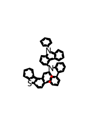 c1ccc(-c2ccccc2N(c2ccc3ccc4sc5ccccc5c4c3c2)c2cccc3c2c2ccccc2n3-c2ccccc2)cc1